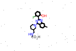 Cc1ccc2c(N3CCCC(CNC(=O)O)C3)nc(-c3c(O)cccc3F)nc2c1